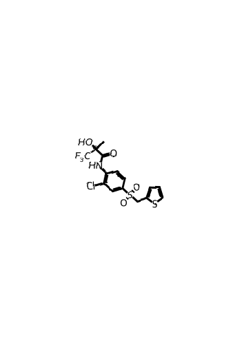 C[C@@](O)(C(=O)Nc1ccc(S(=O)(=O)Cc2cccs2)cc1Cl)C(F)(F)F